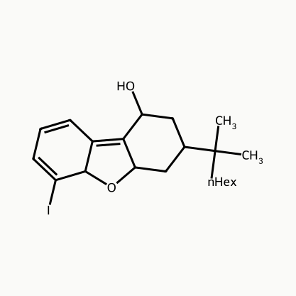 CCCCCCC(C)(C)C1CC(O)C2=C3C=CC=C(I)C3OC2C1